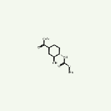 COC(=O)C1CC[C@H](NC(=O)OC(C)(C)C)C(O)C1